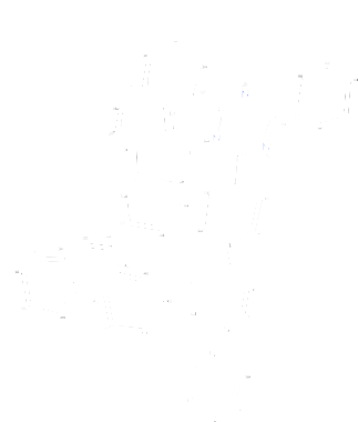 c1ccc(-c2ccc(-c3ccc(-c4nc(-c5ccccc5)nc(-c5cccc6ccc7c8cc(-c9cc%10ccccc%10c%10ccccc9%10)ccc8sc7c56)n4)cc3)cc2)cc1